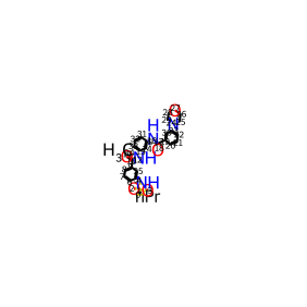 CCCS(=O)(=O)Nc1cccc(C(=O)Nc2cc(NC(=O)c3cccc(N4CCOCC4)c3)ccc2C)c1